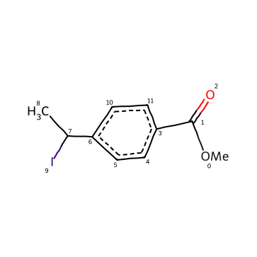 COC(=O)c1ccc(C(C)I)cc1